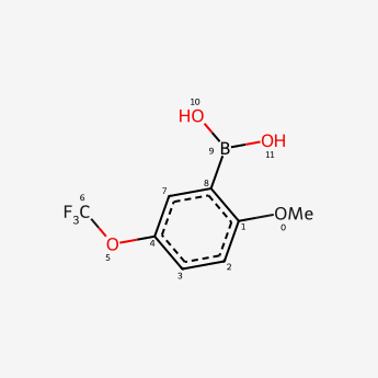 COc1ccc(OC(F)(F)F)cc1B(O)O